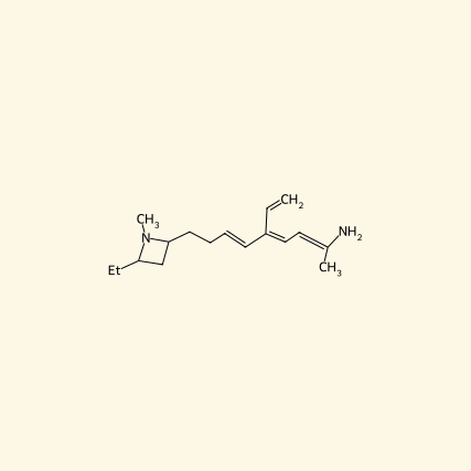 C=CC(/C=C/CCC1CC(CC)N1C)=C\C=C(/C)N